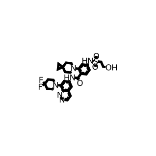 O=C(Nc1cc(N2CCC(F)(F)CC2)c2nnccc2c1)c1ccc(NS(=O)(=O)CCO)cc1N1CCC2(CC1)CC2